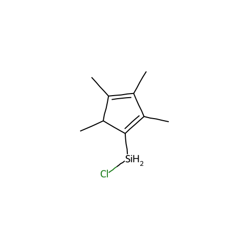 CC1=C(C)C(C)C([SiH2]Cl)=C1C